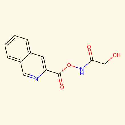 O=C(CO)NOC(=O)c1cc2ccccc2cn1